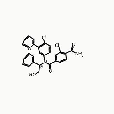 NC(=O)c1ccc(C(=O)N(c2ccc(Cl)c(-c3ccccn3)c2)[C@@H](CO)c2ccccc2)cc1Cl